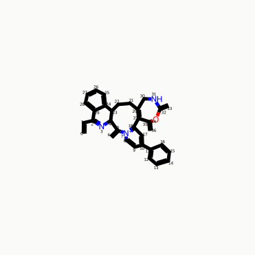 C=CC1=NC2C(=C)[n+]3ccc(-c4ccccc4)cc3C3=C(CCC2c2ccccc21)CNC(=C)OC3=C